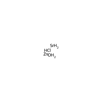 Cl.O.[SrH2].[Zn]